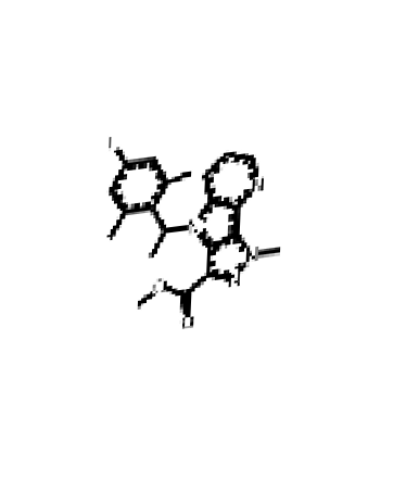 COC(=O)c1nn(C)c2c3ncccc3n(C(C)c3c(C)cc(F)cc3C)c12